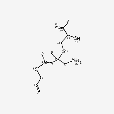 C=CCSN(C)CC(C)(CN)SCC(S)C(=C)C